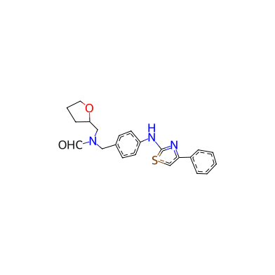 O=CN(Cc1ccc(Nc2nc(-c3ccccc3)cs2)cc1)CC1CCCO1